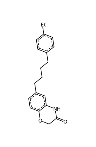 CCc1ccc(CCCCc2ccc3c(c2)NC(=O)CO3)cc1